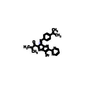 CC(C)c1c(-c2ncccn2)nc2n1N=C(C(=O)N(C)C)/C2=N/c1ccc(N(C)C)cc1